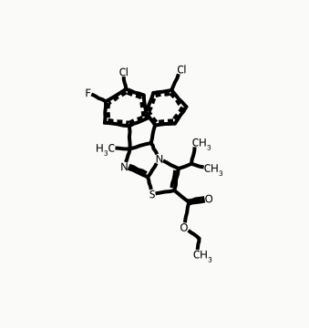 CCOC(=O)C1=C(C(C)C)N2C(=NC(C)(c3ccc(Cl)c(F)c3)C2c2ccc(Cl)cc2)S1